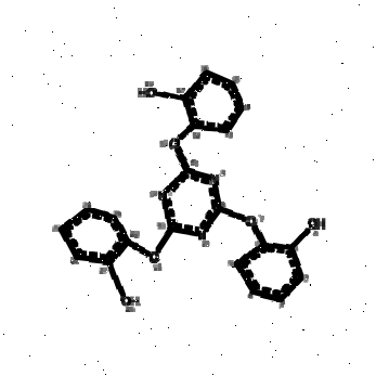 Oc1ccccc1Oc1nc(Oc2ccccc2O)nc(Oc2ccccc2O)n1